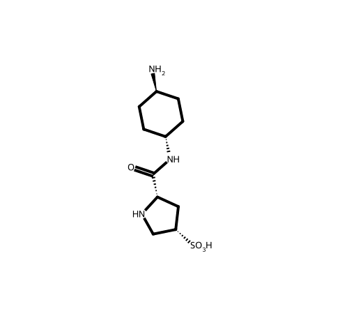 N[C@H]1CC[C@H](NC(=O)[C@@H]2C[C@H](S(=O)(=O)O)CN2)CC1